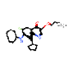 O=C(O)CCOc1c[nH]c2c(C3CCCC3)c(NC3CCCCC3)c(F)cc2c1=O